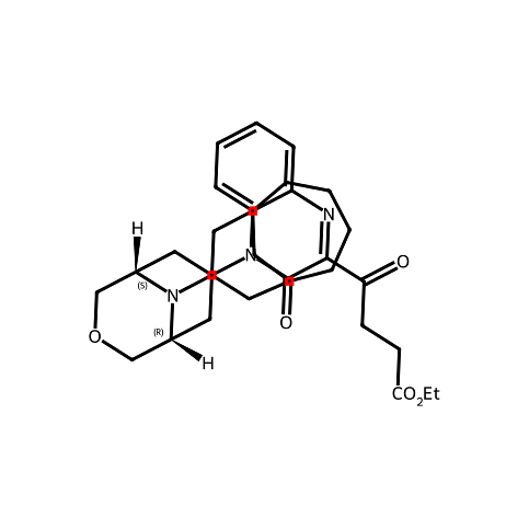 CCOC(=O)CCC(=O)c1nc2ccccc2n(C2C[C@H]3COC[C@@H](C2)N3C2CC3CCCCC(C3)C2)c1=O